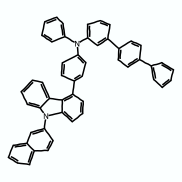 c1ccc(-c2ccc(-c3cccc(N(c4ccccc4)c4ccc(-c5cccc6c5c5ccccc5n6-c5ccc6ccccc6c5)cc4)c3)cc2)cc1